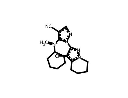 C=[N+](c1c(C#N)cnn1-c1nn2c(c1Cl)CCCC2)C1CCCCC1